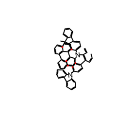 C=C/C(=C(\C=C/C)c1ccc(-n2c3ccccc3c3ccccc32)cc1)N(c1ccc2c(c1)C(C)(C)c1ccccc1-2)c1ccccc1-c1cccc2cccc(-c3ccccc3)c12